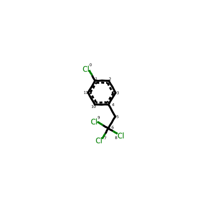 Clc1ccc(CC(Cl)(Cl)Cl)cc1